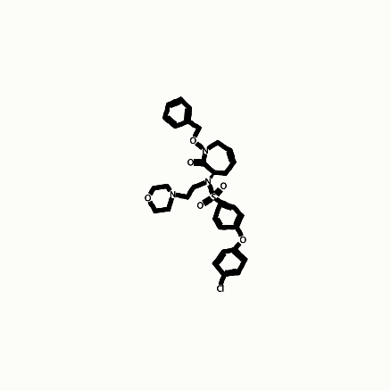 O=C1[C@H](N(CCN2CCOCC2)S(=O)(=O)c2ccc(Oc3ccc(Cl)cc3)cc2)CC=CCN1OCc1ccccc1